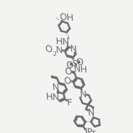 C=Cc1nc2[nH]cc(F)c2cc1Oc1cc(N2CCC3(CC2)CN([C@@H]2CCC[C@@H]2c2ccccc2C(C)C)C3)ccc1C(=O)NS(=O)(=O)c1cnc(NC[C@H]2CC[C@](C)(O)CC2)c([N+](=O)[O-])c1